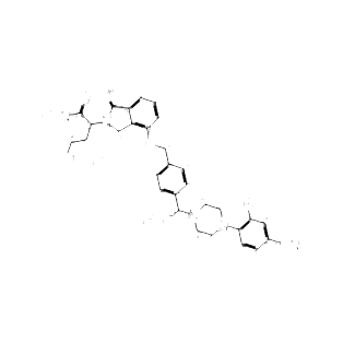 CC(c1ccc(COc2cccc3c2CN(C(CCC(=O)O)C(N)=O)C3=O)cc1)N1CCN(c2ccc(C#N)cc2F)CC1